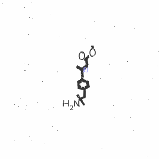 COC(=O)/C=C(\C)c1ccc(CC(C)(C)N)cc1